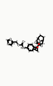 O=C(Nc1ccc(CC2CC3CCC(C2)N3S(=O)(=O)C2CC2)cc1)OCc1cnco1